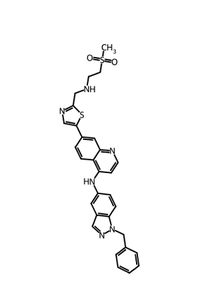 CS(=O)(=O)CCNCc1ncc(-c2ccc3c(Nc4ccc5c(cnn5Cc5ccccc5)c4)ccnc3c2)s1